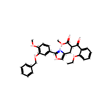 CCOc1ccccc1C(=O)C(Cc1coc(-c2ccc(OC)c(OCc3ccccc3)c2)n1)C(=O)OC